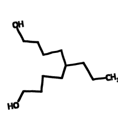 CCCC(CCCCO)CCCCO